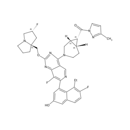 CCc1c(F)ccc2cc(O)cc(-c3ncc4c(N5CC[C@@H]6[C@H](C5)[C@@H]6C(=O)n5ccc(C)n5)nc(OC[C@@]56CCCN5C[C@H](F)C6)nc4c3F)c12